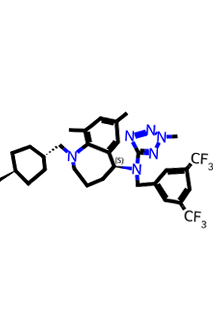 Cc1cc(C)c2c(c1)[C@@H](N(Cc1cc(C(F)(F)F)cc(C(F)(F)F)c1)c1nnn(C)n1)CCCN2C[C@H]1CC[C@H](C)CC1